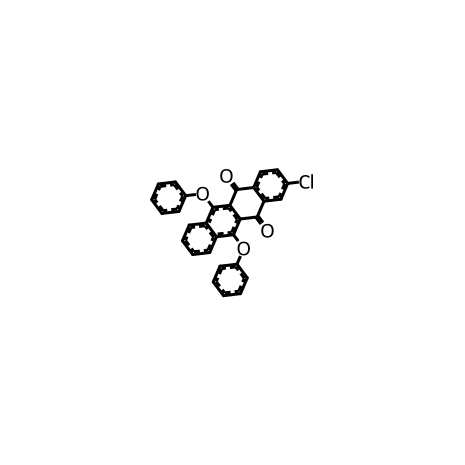 O=C1c2ccc(Cl)cc2C(=O)c2c1c(Oc1ccccc1)c1ccccc1c2Oc1ccccc1